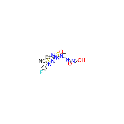 CCc1nc2sc(N3CC(N(C)CC(=O)N4CC(O)C4)CCC3=O)nn2c1N(C)c1nc(-c2ccc(F)cc2)c(C#N)s1